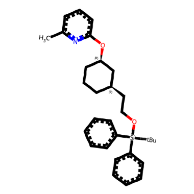 Cc1cccc(O[C@@H]2CCC[C@H](CCO[Si](c3ccccc3)(c3ccccc3)C(C)(C)C)C2)n1